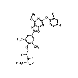 CCCOc1nc(Oc2ccc(F)cc2F)nc2oc(-c3cc(C)c(OCC(=O)N4CCCC4C(=O)O)c(C)c3)nc12